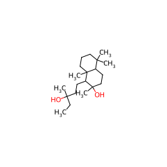 CCC(C)(O)CCC1C(C)(O)CCC2C(C)(C)CCCC21C